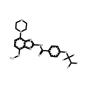 COc1ccc(N2CCOCC2)c2sc(NC(=O)c3ccc(OC(F)(F)C(F)F)cc3)nc12